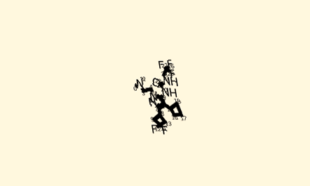 CN(C)CCn1nc(C2CC(F)(F)C2)c(C2CCC2)c1NC(=O)NCC(F)(F)F